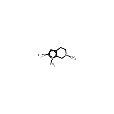 Cc1cc2c(n1C)CN(C)CC2